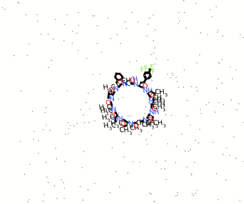 CC[C@H](C)[C@@H]1NC(=O)[C@H](CC(C)C)N(C)C(=O)C[C@@H](C)N(C)C(=O)[C@H](CC(C)C)NC(=O)C(C)(C)N(C)C(=O)[C@H](CC(C)C)NC(=O)[C@H](CCc2ccc(C(F)(F)F)c(F)c2)NC(=O)CN(C)C(=O)[C@H](CC2CCCCC2)N(C)C(=O)[C@@H]2CCN2C(=O)[C@H](C)N(C)C1=O